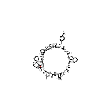 CC[C@H](C)[C@@H]1NC(=O)[C@H](CC(C)C)N(C)C(=O)C[C@@H](C(=O)N2C3CCC2COC3)N(C)C(=O)[C@H](C2CCCCC2)N(C)C(=O)C2(CCCC2)NC(=O)[C@@H]2CCCN2C(=O)[C@H](CCc2ccc(C(F)(F)F)cc2)NC(=O)CN(C)C(=O)[C@H](CC2CCCCC2)N(C)C(=O)CN(C)C(=O)CN(C)C1=O